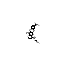 CCOC(=O)C1CCOc2c1cc(Cl)c(Oc1ccc(C(=O)O)cc1)c2Br